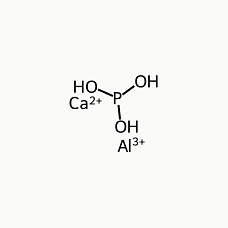 OP(O)O.[Al+3].[Ca+2]